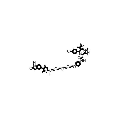 Cc1cc(NCCOCCOCCOCCOc2ccc(NC(=O)C[C@@H]3N=C(c4ccc(Cl)cc4)c4c(sc(C)c4C)-n4c(C)nnc43)cc2)nc(C)c1-c1ccc2c(c1)CC(=O)N2